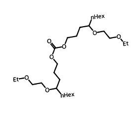 CCCCCCC(CCCOC(=O)OCCCC(CCCCCC)OCCOCC)OCCOCC